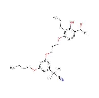 CCCCOc1cc(OCCCOc2ccc(C(C)=O)c(O)c2CCC)cc(C(C)(C)C#N)c1